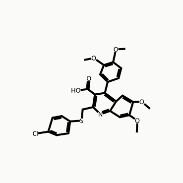 COc1ccc(-c2c(C(=O)O)c(CSc3ccc(Cl)cc3)nc3cc(OC)c(OC)cc23)cc1OC